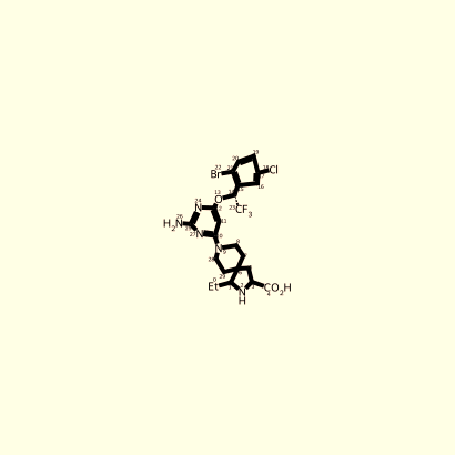 CCC1NC(C(=O)O)CC12CCN(c1cc(O[C@H](c3cc(Cl)ccc3Br)C(F)(F)F)nc(N)n1)CC2